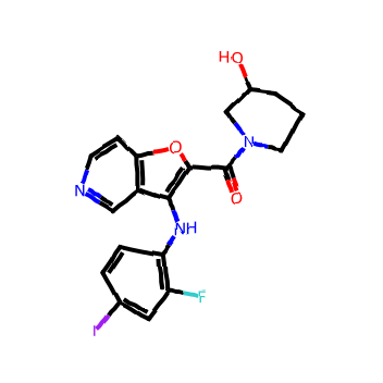 O=C(c1oc2ccncc2c1Nc1ccc(I)cc1F)N1CCCC(O)C1